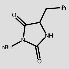 CCCCN1C(=O)NC(CC(C)C)C1=O